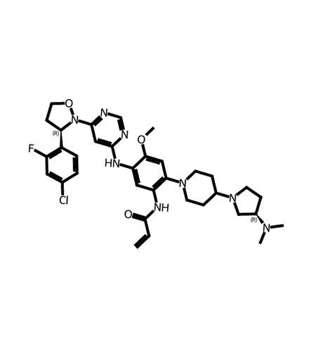 C=CC(=O)Nc1cc(Nc2cc(N3OCC[C@@H]3c3ccc(Cl)cc3F)ncn2)c(OC)cc1N1CCC(N2CC[C@@H](N(C)C)C2)CC1